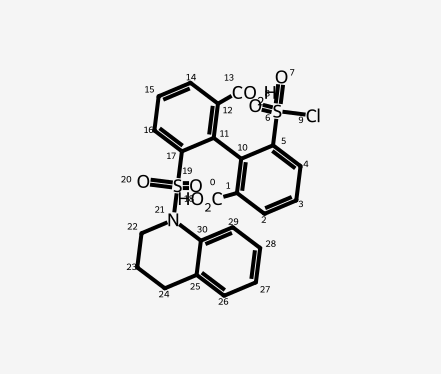 O=C(O)c1cccc(S(=O)(=O)Cl)c1-c1c(C(=O)O)cccc1S(=O)(=O)N1CCCc2ccccc21